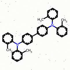 Cc1ccccc1N(c1ccc(-c2ccc(N(c3ccccc3C)c3ccccc3C)cc2)cc1)c1ccccc1C